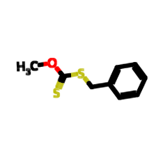 COC(=S)SCc1ccccc1